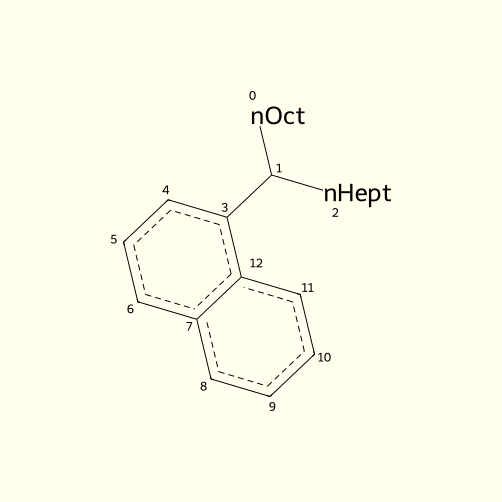 CCCCCCCCC(CCCCCCC)c1cccc2ccccc12